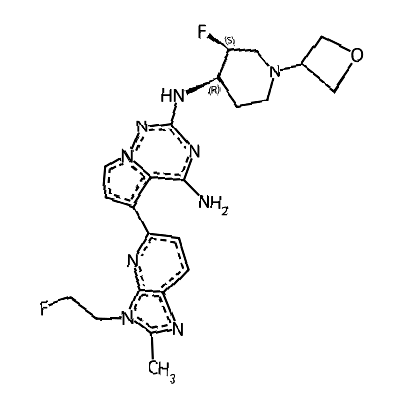 Cc1nc2ccc(-c3ccn4nc(N[C@@H]5CCN(C6COC6)C[C@@H]5F)nc(N)c34)nc2n1CCF